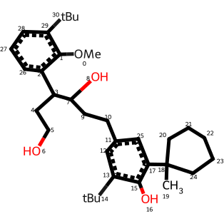 COc1c(C(CCO)C(O)CCc2cc(C(C)(C)C)c(O)c(C3(C)CCCCC3)c2)cccc1C(C)(C)C